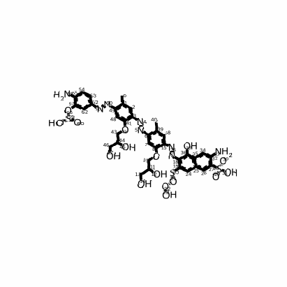 Cc1cc(N=Nc2cc(OCC(O)CO)c(N=Nc3c(SOOO)cc4cc(S(=O)(=O)O)c(N)cc4c3O)cc2C)c(OCC(O)CO)cc1N=Nc1ccc(N)c(OS(=O)O)c1